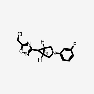 Fc1cccc(N2C[C@@H]3C(c4noc(CCl)n4)[C@@H]3C2)c1